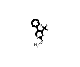 CSc1ncc(-c2ccccc2)c(C(F)(F)F)n1